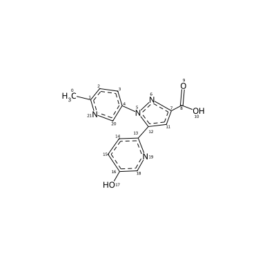 Cc1ccc(-n2nc(C(=O)O)cc2-c2ccc(O)cn2)cn1